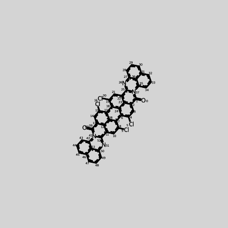 O=c1c2cc(Cl)c3c4c(Cl)cc5c6c(cc(Cl)c(c7c(Cl)cc(c2c37)c2nc3cccc7cccc(c73)n12)c46)c(=O)n1c2cccc3cccc(nc51)c32